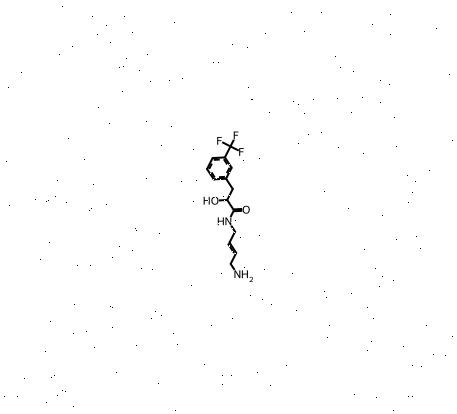 NC/C=C/CNC(=O)C(O)Cc1cccc(C(F)(F)F)c1